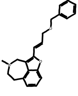 CN1CCc2cccc3oc(/C=C/COCc4ccccc4)c(c23)C1